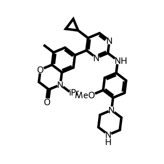 COc1cc(Nc2ncc(C3CC3)c(-c3cc(C)c4c(c3)N(C(C)C)C(=O)CO4)n2)ccc1N1CCNCC1